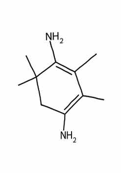 CC1=C(N)CC(C)(C)C(N)=C1C